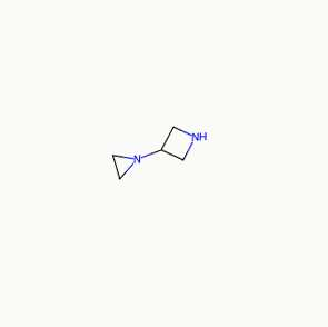 C1NCC1N1CC1